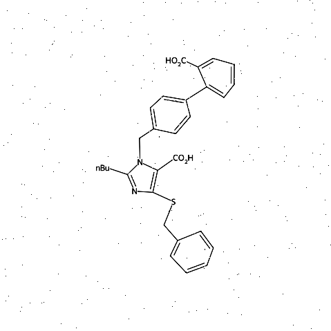 CCCCc1nc(SCc2ccccc2)c(C(=O)O)n1Cc1ccc(-c2ccccc2C(=O)O)cc1